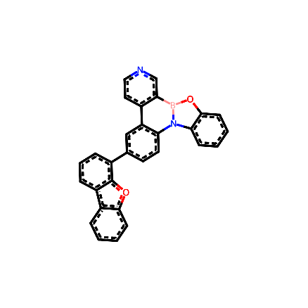 c1ccc2c(c1)OB1c3cnccc3-c3cc(-c4cccc5c4oc4ccccc45)ccc3N12